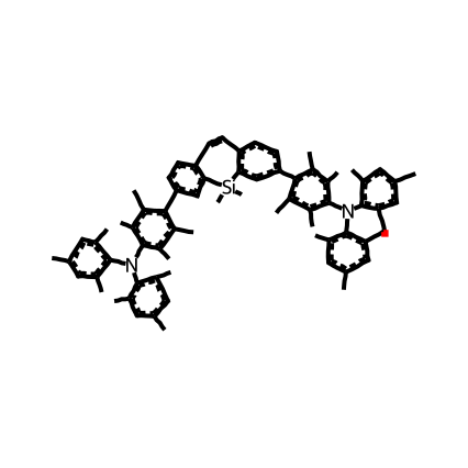 Cc1cc(C)c(N(c2c(C)cc(C)cc2C)c2c(C)c(C)c(-c3ccc4c(c3)[Si](C)(C)c3cc(-c5c(C)c(C)c(N(c6c(C)cc(C)cc6C)c6c(C)cc(C)cc6C)c(C)c5C)ccc3C=C4)c(C)c2C)c(C)c1